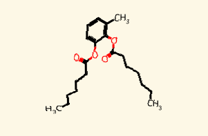 CCCCCCC(=O)Oc1cccc(C)c1OC(=O)CCCCCC